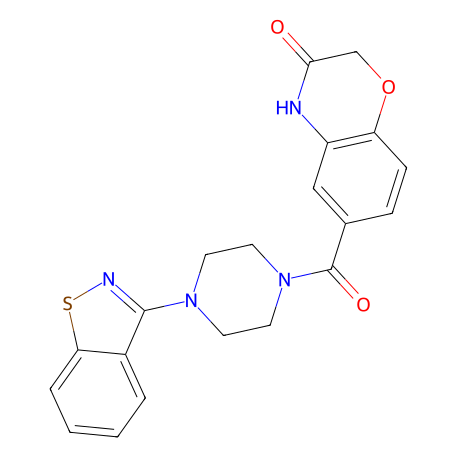 O=C1COc2ccc(C(=O)N3CCN(c4nsc5ccccc45)CC3)cc2N1